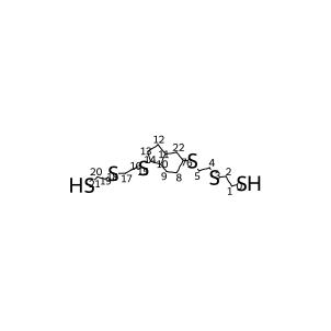 SCCSCCSC1CCC2C(CCC2SCCSCCS)C1